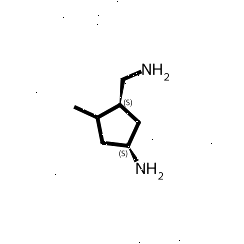 CC1C[C@H](N)C[C@@H]1CN